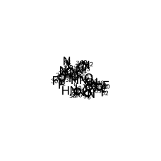 C[C@@H]1CN(c2ccnc3c2cc(C(=O)NCc2cnc4c(cc(C#N)c5nc6cc(F)c(F)cc6n54)c2N2CCCN(C)CC2)c2nc4cc(F)c(F)cc4n23)C[C@H](C)N1